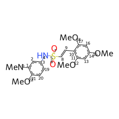 CNc1cc(NS(=O)(=O)/C=C/c2c(OC)cc(OC)cc2OC)ccc1OC